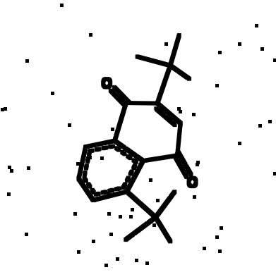 CC(C)(C)C1=CC(=O)c2c(cccc2C(C)(C)C)C1=O